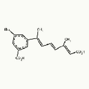 CC(/C=C/C=C(\C)c1cc(C(=O)O)cc(C(C)(C)C)c1)=C\C(=O)O